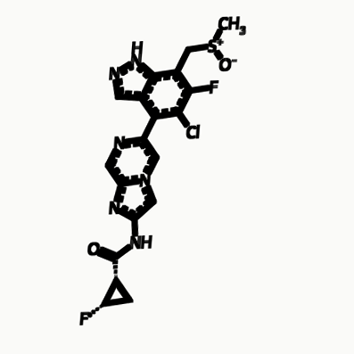 C[S+]([O-])Cc1c(F)c(Cl)c(-c2cn3cc(NC(=O)[C@@H]4C[C@@H]4F)nc3cn2)c2cn[nH]c12